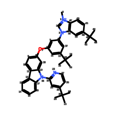 C[n+]1cn(-c2cc(Oc3ccc4c5ccccc5n(-c5cc(C(C)(C)C)ccn5)c4c3)cc(C(C)(C)C)c2)c2cc(C(C)(C)C)ccc21